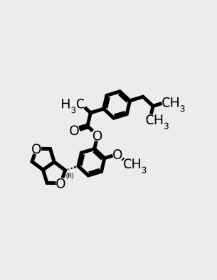 COc1ccc([C@@H]2OCC3COCC32)cc1OC(=O)C(C)c1ccc(CC(C)C)cc1